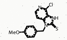 COc1ccc(Cn2c(=S)[nH]c3c(Cl)nccc32)cc1